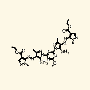 CCOC(=O)c1cnn(C)c1/N=N/c1c(C)nn(-c2nc(OC)nc(-n3nc(C)c(/N=N/c4c(C(=O)OCC)cnn4C)c3N)n2)c1N